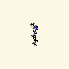 BC(C)(C)N(/C(C=C)=C/C=C(\C=C)C(C)CC)/C(C=C)=C/C=C(C=C)/C(C=C)=C/C1=C(C=C)c2cc3c(cc2C1)C(C=C)=C(/C=C(\C=C)C(C)CC)C3